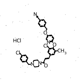 Cc1cc(/C=C/C(=O)N2CCN(Cc3ccc(Cl)cc3)CC2)cc(Cl)c1Oc1ccc(OCc2ccc(C#N)cc2)cn1.Cl